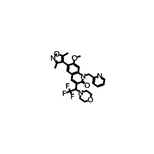 COc1cc2c(cc1-c1c(C)noc1C)cc(C(N1CCOCC1)C(F)(F)F)c(=O)n2Cc1ccccn1